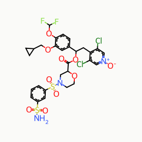 NS(=O)(=O)c1cccc(S(=O)(=O)N2CCOC(C(=O)OC(Cc3c(Cl)c[n+]([O-])cc3Cl)c3ccc(OC(F)F)c(OCC4CC4)c3)C2)c1